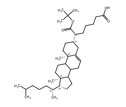 CC(C)CCC[C@@H](C)[C@H]1CCC2C3CC=C4C[C@@H](N(CCCCC(=O)O)C(=O)OC(C)(C)C)CC[C@]4(C)C3CC[C@@]21C